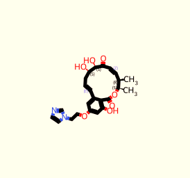 C[C@@H]1/C=C\C(=O)[C@@H](O)[C@@H](O)C/C=C/c2cc(OCCn3ccnc3)cc(O)c2C(=O)O[C@H]1C